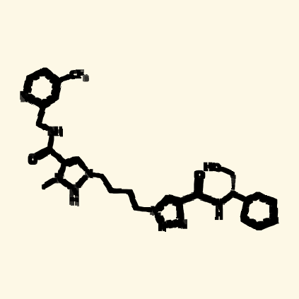 CN1NN(CCCCn2cc(C(=O)N[C@H](CO)c3ccccc3)nn2)C=C1C(=O)NCc1cc(C(F)(F)F)ccn1